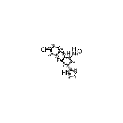 O=CNc1cc(C2=NCCN2)cc(F)c1Nc1ccc(Cl)cc1